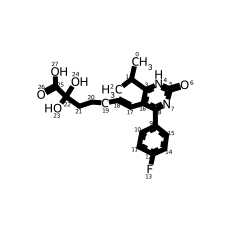 CC(C)c1[nH]c(=O)nc(-c2ccc(F)cc2)c1/C=C/CCCC(O)(O)C(=O)O